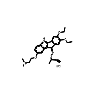 C#CC(C)O/N=C1/c2cc(OCC)c(OCC)cc2-c2[nH]c3ccc(OCCN(C)C)cc3c21.Cl